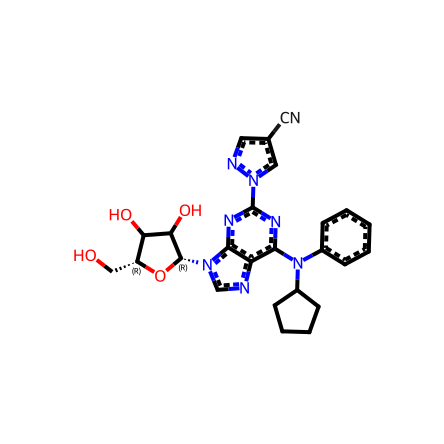 N#Cc1cnn(-c2nc(N(c3ccccc3)C3CCCC3)c3ncn([C@@H]4O[C@H](CO)C(O)C4O)c3n2)c1